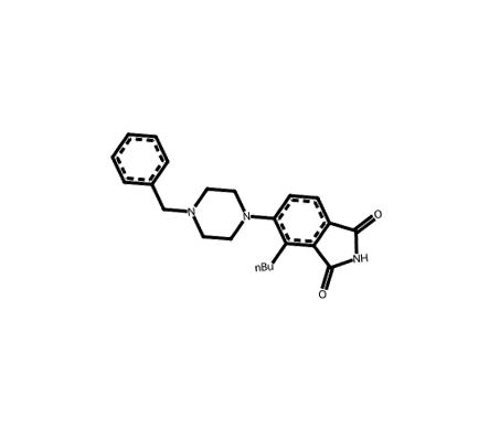 CCCCc1c(N2CCN(Cc3ccccc3)CC2)ccc2c1C(=O)NC2=O